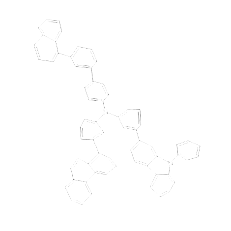 c1ccc(-n2c3ccccc3c3ccc(-c4cccc(N(c5ccc(-c6cccc(-c7cccc8ccccc78)c6)cc5)c5cccc(-c6cccc7c6ccc6ccccc67)c5)c4)cc32)cc1